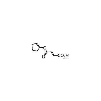 O=C(O)/C=C/C(=O)OC1=CCCC1